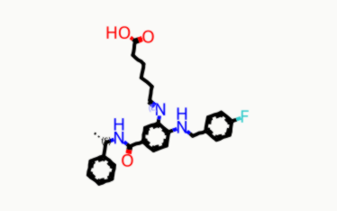 C[C@H](NC(=O)c1ccc(NCc2ccc(F)cc2)c(/N=C/CCCCC(=O)O)c1)c1ccccc1